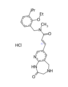 CCOc1c(CN(C)C(=O)/C=C/c2cnc3c(c2)CNCC(=O)N3)cccc1C(C)C.Cl